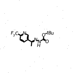 CC(=NNC(=O)OC(C)(C)C)c1ccc(C(F)(F)F)nc1